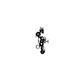 CC(Nc1cc(-c2cncn2C)ccn1)c1cc2cc(Cl)c(OCc3ccccn3)cc2[nH]c1=O